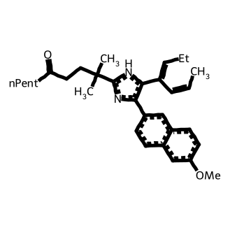 C/C=C\C(=C/CC)c1[nH]c(C(C)(C)CCC(=O)CCCCC)nc1-c1ccc2cc(OC)ccc2c1